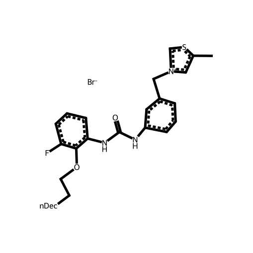 CCCCCCCCCCCCOc1c(F)cccc1NC(=O)Nc1cccc(C[n+]2csc(C)c2)c1.[Br-]